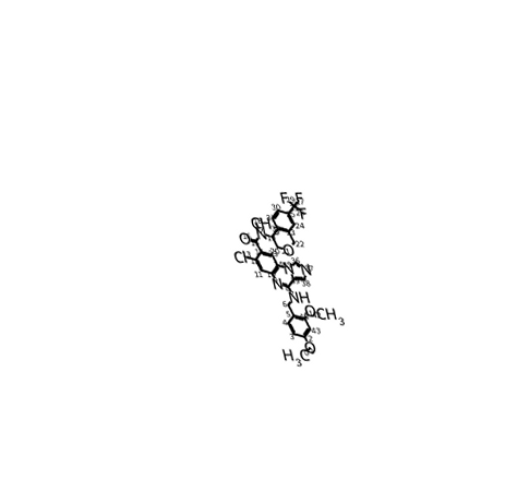 COc1ccc(CNc2nc3cc(Cl)c(C(=O)N(C)[C@@H]4COCc5cc(C(F)(F)F)ccc54)cc3n3cncc23)c(OC)c1